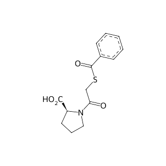 O=C(SCC(=O)N1CCC[C@H]1C(=O)O)c1ccccc1